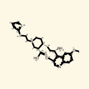 COc1ccc2ncc(Cl)c([C@@H](N)CC[C@H]3CCN(CCSc4cccs4)C[C@H]3C(=O)O)c2c1